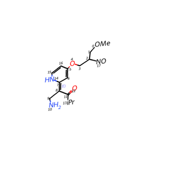 COCC(COC1=C/C(=C(/CN)C(=O)C(C)C)NC=C1)N=O